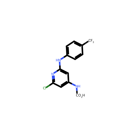 O=C(O)Nc1cc(Cl)nc(Nc2ccc(C(F)(F)F)cc2)c1